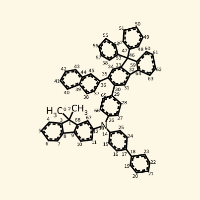 CC1(C)c2ccccc2-c2ccc(N(c3ccc(-c4ccccc4)cc3)c3ccc(-c4cc5c(cc4-c4ccc6ccccc6c4)C(c4ccccc4)(c4ccccc4)c4ccccc4-5)cc3)cc21